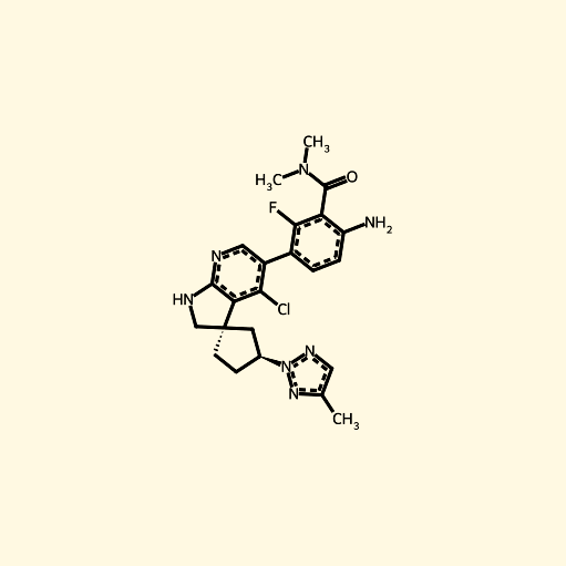 Cc1cnn([C@H]2CC[C@@]3(CNc4ncc(-c5ccc(N)c(C(=O)N(C)C)c5F)c(Cl)c43)C2)n1